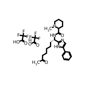 CC(=O)CCCCC[C@H](NC(=O)C1CCCCN1C)c1ncc(-c2ccccc2)[nH]1.O=C(O)C(F)(F)F.O=C(O)C(F)(F)F